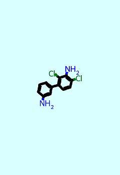 Nc1cccc(-c2ccc(Cl)c(N)c2Cl)c1